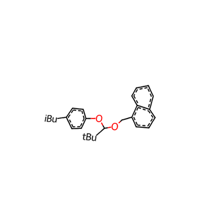 CCC(C)c1ccc(OC(OCc2cccc3ccccc23)C(C)(C)C)cc1